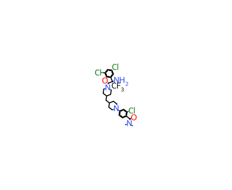 CN(C)C(=O)c1ccc(N2CCC(CC3CCN(C(=O)[C@](N)(c4cc(Cl)cc(Cl)c4)C(F)(F)F)CC3)CC2)cc1Cl